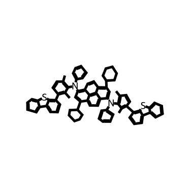 Cc1ccc(-c2cccc3c2sc2ccccc23)c(C)c1N(c1ccccc1)c1cc(C2CCCCC2)c2ccc3c(N(c4ccccc4)c4c(C)ccc(-c5cccc6c5sc5ccccc56)c4C)cc(C4CCCCC4)c4ccc1c2c43